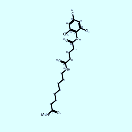 CNC(=O)CCCCCCCNC(=O)CCCC(=O)Oc1c(Cl)cc(Cl)cc1Cl